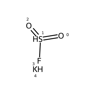 O=[SH](=O)F.[KH]